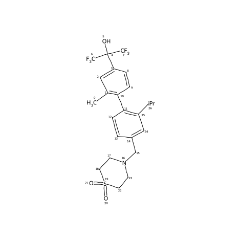 Cc1cc(C(O)(C(F)(F)F)C(F)(F)F)ccc1-c1ccc(CN2CCS(=O)(=O)CC2)cc1C(C)C